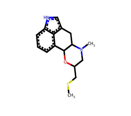 CSCC1CN(C)C2Cc3c[nH]c4cccc(c34)C2O1